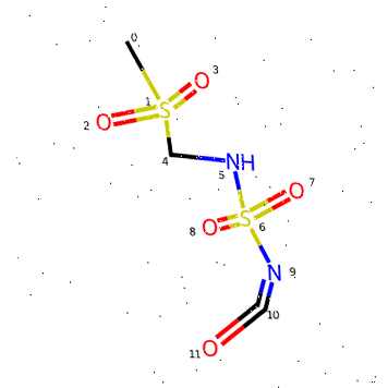 CS(=O)(=O)CNS(=O)(=O)N=C=O